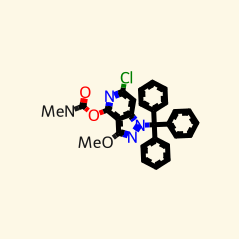 CNC(=O)Oc1nc(Cl)cc2c1c(OC)nn2C(c1ccccc1)(c1ccccc1)c1ccccc1